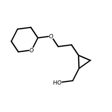 OCC1CC1CCOC1CCCCO1